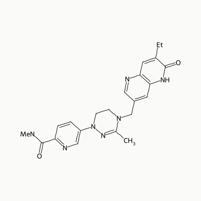 CCc1cc2ncc(CN3CCN(c4ccc(C(=O)NC)nc4)N=C3C)cc2[nH]c1=O